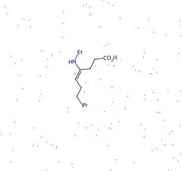 CCN/C(=C/CCC(C)C)CCC(=O)O